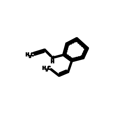 C=CNc1ccccc1/C=C\C